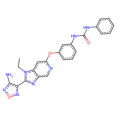 CCn1c(-c2nonc2N)nc2cnc(Oc3cccc(NC(=O)Nc4ccccc4)c3)cc21